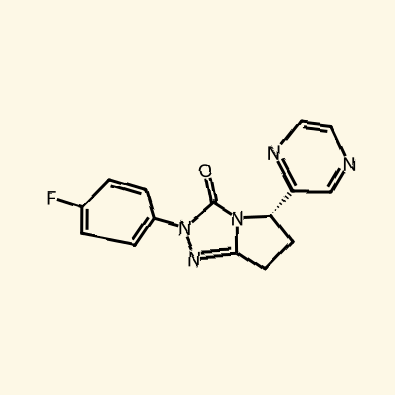 O=c1n(-c2ccc(F)cc2)nc2n1[C@H](c1cnccn1)CC2